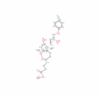 CC(C)OC(=O)CCC[C@H]1CC[C@@H]2[C@@H](/C=C/[C@@H](O)COc3ccc(Cl)cc3)[C@H](O)C[C@@H]2OC1